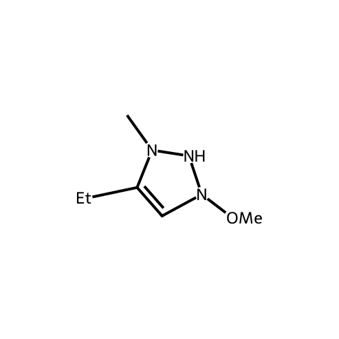 CCC1=CN(OC)NN1C